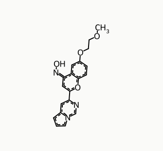 COCCOc1ccc2oc(-c3cc4cccn4cn3)c/c(=N/O)c2c1